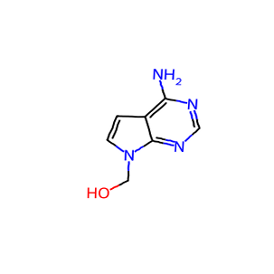 Nc1ncnc2c1ccn2CO